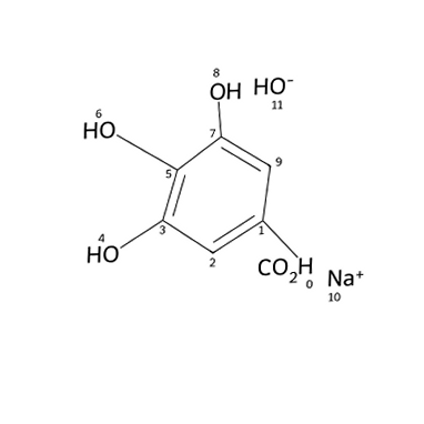 O=C(O)c1cc(O)c(O)c(O)c1.[Na+].[OH-]